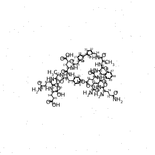 CC(NC(=O)[C@H](Cc1ccccc1)NC(=O)C(CCC(=O)O)NC(=O)Cc1ccc(-c2ccc(CNC(=O)[C@H](C)NC(=O)C(Cc3ccccc3)NC(=O)[C@H](CCC(=O)O)NC(=O)C(CCC(N)=O)NC(=O)[C@@H](N)CCC(N)=O)s2)s1)C(=O)N[C@@H](CCC(N)=O)C(=O)NC(CCC(=O)O)C(=O)O